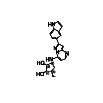 [CH2][C@@H]1C[C@@H](Nc2ccnc3cc(-c4ccc5[nH]ccc5c4)nn23)[C@H](O)[C@@H]1O